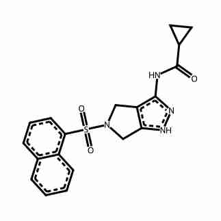 O=C(Nc1n[nH]c2c1CN(S(=O)(=O)c1cccc3ccccc13)C2)C1CC1